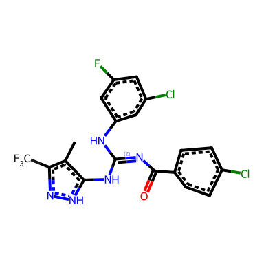 Cc1c(C(F)(F)F)n[nH]c1N/C(=N\C(=O)c1ccc(Cl)cc1)Nc1cc(F)cc(Cl)c1